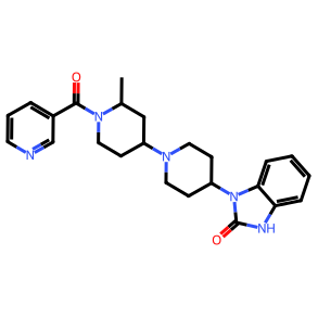 CC1CC(N2CCC(n3c(=O)[nH]c4ccccc43)CC2)CCN1C(=O)c1cccnc1